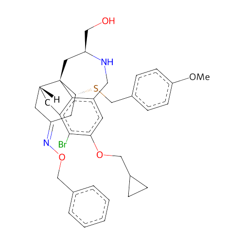 COc1ccc(CS[C@@H]2C/C(=N\OCc3ccccc3)C[C@H]3Cc4c(Br)c(OCC5CC5)cc5c4[C@]32C[C@@H](CO)NC5)cc1